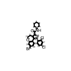 O=C(NN1CCCCC1)c1nn(-c2ccc(Cl)cc2Cl)c2c1CCOc1cc(Br)ccc1-2